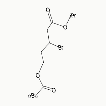 CCCCC(=O)OCCC(Br)CC(=O)OC(C)C